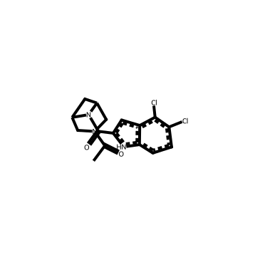 CC(=O)N1CC2CC(C1)N2C(=O)c1cc2c(Cl)c(Cl)ccc2[nH]1